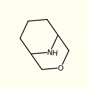 C1CC2COCC(C1)N2